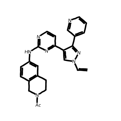 C=Cn1cc(-c2ccnc(Nc3ccc4c(c3)CCN(C(C)=O)C4)n2)c(-c2cccnc2)n1